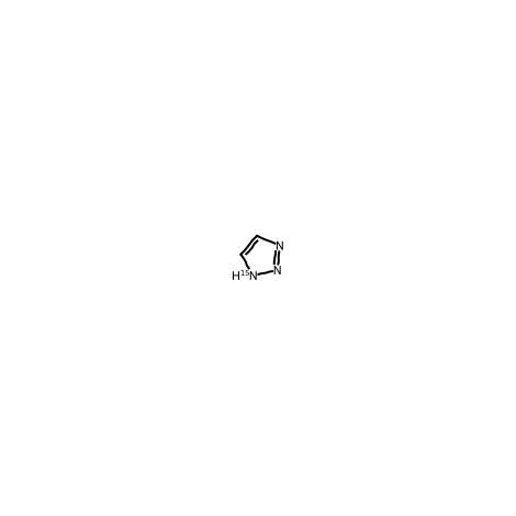 c1c[15nH]nn1